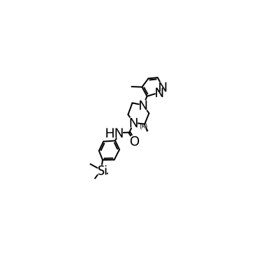 Cc1ccnnc1N1CCN(C(=O)Nc2ccc([Si](C)(C)C)cc2)[C@H](C)C1